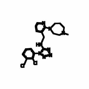 CN1CCCN(c2ncccc2CNc2nnnn2-c2cccc(Cl)c2Cl)CC1